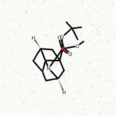 COC(=O)C12CC3C[C@H](C1)N(C(=O)OC(C)(C)C)[C@@H](C3)C2